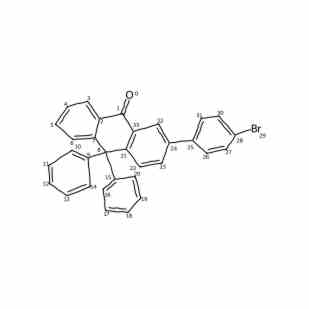 O=C1c2ccccc2C(c2ccccc2)(c2ccccc2)c2ccc(-c3ccc(Br)cc3)cc21